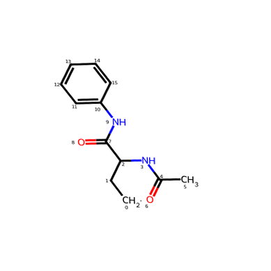 [CH2]CC(NC(C)=O)C(=O)Nc1ccccc1